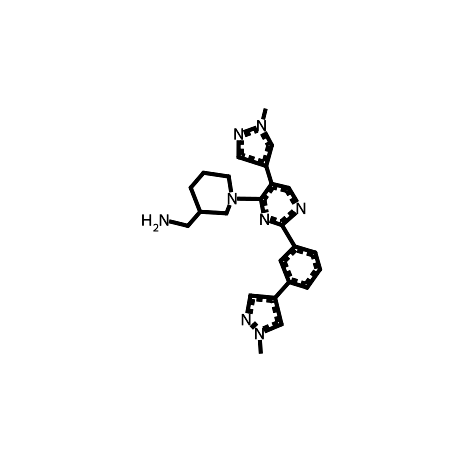 Cn1cc(-c2cccc(-c3ncc(-c4cnn(C)c4)c(N4CCCC(CN)C4)n3)c2)cn1